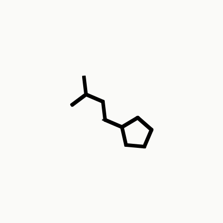 CC(C)C[CH]C1CCCC1